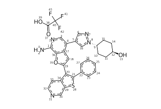 Nc1ncc(-c2cnn([C@H]3CC[C@H](O)CC3)c2)c2cc(-c3c(-c4ccccc4)sc4cnccc34)oc12.O=C(O)C(F)(F)F